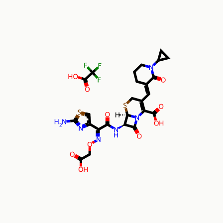 Nc1nc(C(=NOCC(=O)O)C(=O)N[C@@H]2C(=O)N3C(C(=O)O)=C(C=C4CCCN(C5CC5)C4=O)CS[C@H]23)cs1.O=C(O)C(F)(F)F